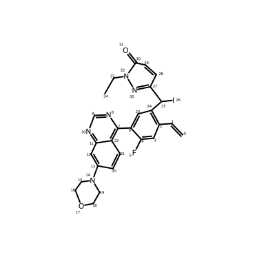 C=Cc1cc(F)c(-c2ncnc3cc(N4CCOCC4)ccc23)cc1C(I)c1ccc(=O)n(CC)n1